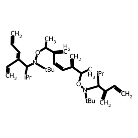 C=C/C=C(\C=C)C(C(C)C)N(OC(C)C(=C)/C=C\C(=C)C(C)ON(C(C(=C)C=C)C(C)C)C(C)(C)C)C(C)(C)C